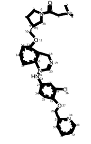 CN(C)CC(=O)N1CC[C@@H](COc2cccc3c2CN=CN3Nc2ccc(OCc3ccccn3)c(Cl)c2)C1